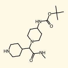 CNC(=O)C(C1CCNCC1)N1CCC(NC(=O)OC(C)(C)C)CC1